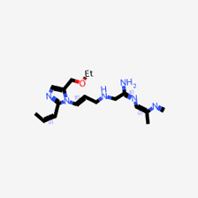 C=N/C(C)=C\N=C(\N)CNC/C=C/n1c(COCC)cnc1/C=C\C